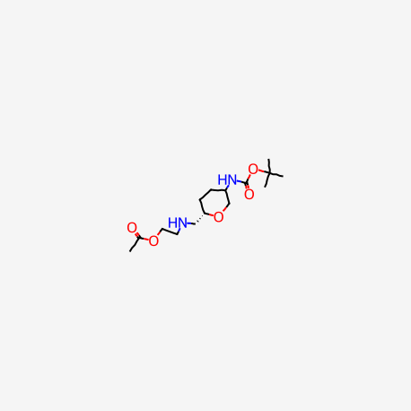 CC(=O)OCCNC[C@@H]1CCC(NC(=O)OC(C)(C)C)CO1